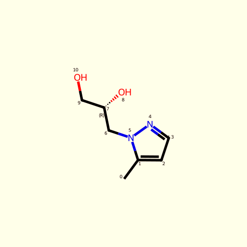 Cc1c[c]nn1C[C@@H](O)CO